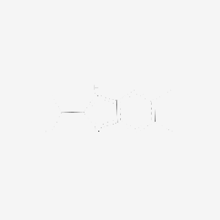 Cc1cc2nc(C(C)Cl)[nH]c2cc1C